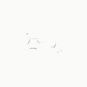 CC(C)C(=O)COc1cccc(C(F)(F)F)n1